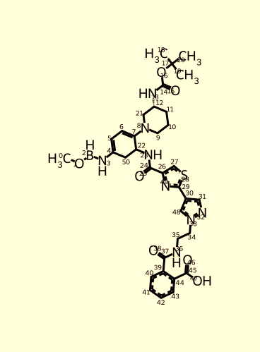 COBNC1=CC=C(N2CCC[C@@H](NC(=O)OC(C)(C)C)C2)C(NC(=O)c2csc(-c3cnn(CCNC(=O)c4ccccc4C(=O)O)c3)n2)C1